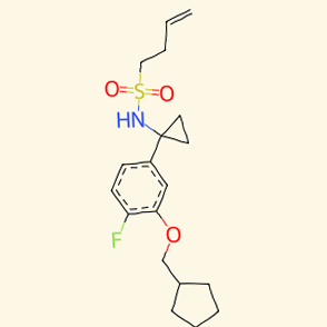 C=CCCS(=O)(=O)NC1(c2ccc(F)c(OCC3CCCC3)c2)CC1